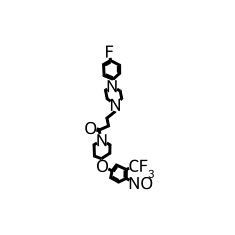 O=Nc1ccc(OC2CCN(C(=O)CCCN3CCN(c4ccc(F)cc4)CC3)CC2)cc1C(F)(F)F